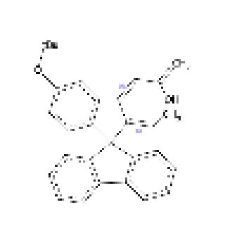 C=C(O)/C=C\C(=C/C)C1(c2ccc(OC(C)(C)C)cc2)c2ccccc2-c2ccccc21